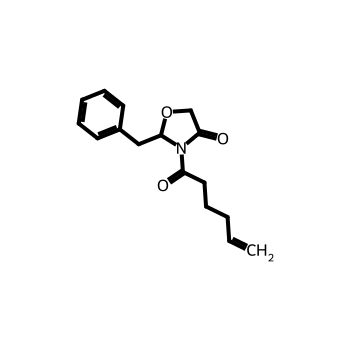 C=CCCCC(=O)N1C(=O)COC1Cc1ccccc1